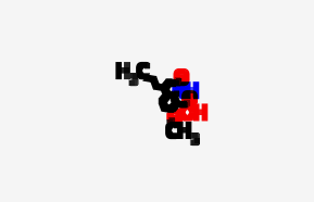 CCCCc1cc(=O)[nH]c2c(C(=O)O)c(OCC)ccc12